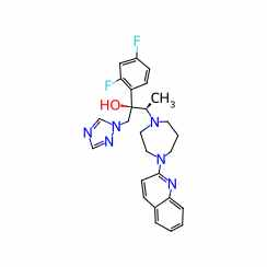 C[C@@H](N1CCCN(c2ccc3ccccc3n2)CC1)[C@](O)(Cn1cncn1)c1ccc(F)cc1F